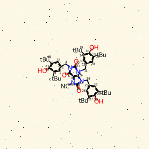 CC(C)(C)c1cc(Cn2c(=O)c3c(n(Cc4cc(C(C)(C)C)c(O)c(C(C)(C)C)c4)c2=O)n(Cc2cc(C(C)(C)C)c(O)c(C(C)(C)C)c2)c(=O)n3C#N)cc(C(C)(C)C)c1O